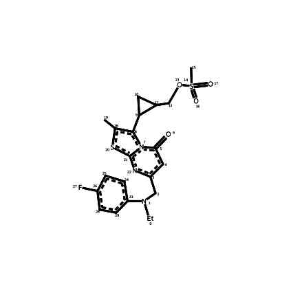 CCN(Cc1cc(=O)n2c(C3CC3COS(C)(=O)=O)c(C)sc2n1)c1ccc(F)cc1